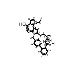 CCCCc1cn(-c2c(C(=O)O)ccn2CC)c(=O)n1Cc1ccc(-c2ccccc2-c2nnn[nH]2)nc1